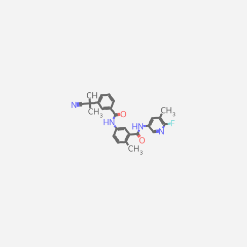 Cc1ccc(NC(=O)c2cccc(C(C)(C)C#N)c2)cc1C(=O)Nc1cnc(F)c(C)c1